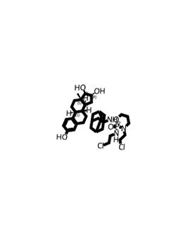 C[C@]12CC[C@@H]3c4ccc(O)cc4CC[C@H]3[C@@H]1C[C@@H](O)[C@@H]2O.NC12CC3CC(CC(C3)C1)C2.O=P1(NCCCl)OCCCN1CCCl